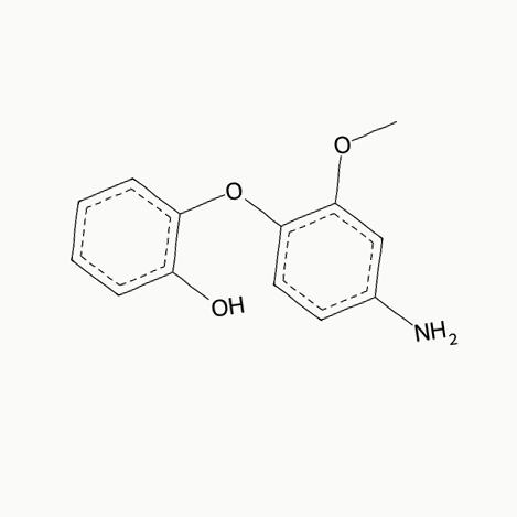 COc1cc(N)ccc1Oc1ccccc1O